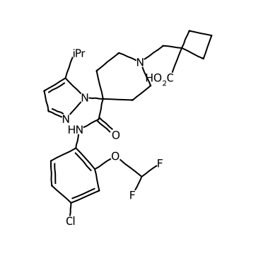 CC(C)c1ccnn1C1(C(=O)Nc2ccc(Cl)cc2OC(F)F)CCN(CC2(C(=O)O)CCC2)CC1